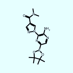 CN(C)C(=O)c1cnn(-c2nc(B3OC(C)(C)C(C)(C)O3)cnc2N)c1